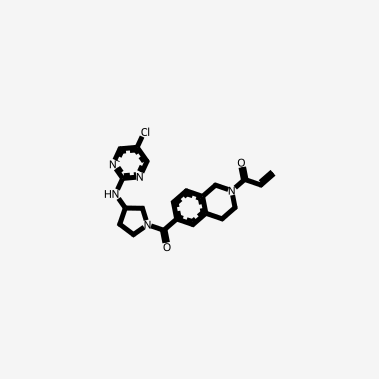 C=CC(=O)N1CCc2cc(C(=O)N3CCC(Nc4ncc(Cl)cn4)C3)ccc2C1